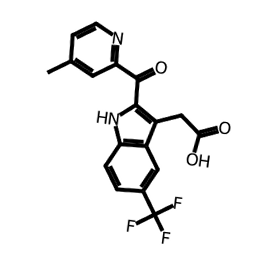 Cc1ccnc(C(=O)c2[nH]c3ccc(C(F)(F)F)cc3c2CC(=O)O)c1